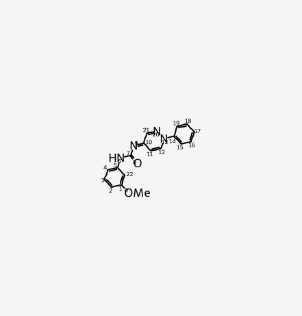 COc1cccc(NC(=O)N=c2ccn(-c3ccccc3)nc2)c1